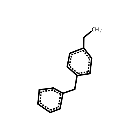 [CH2]Cc1ccc(Cc2ccccc2)cc1